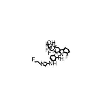 C[C@H]1Cc2c([nH]c3c(F)cccc23)[C@H](c2c(F)cc(NC3CN(CCCF)C3)cc2F)N1CC(F)(F)CO